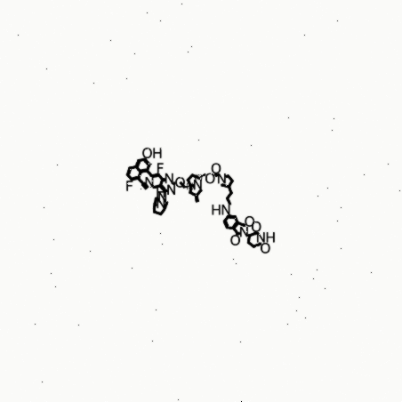 C#Cc1c(F)ccc2cc(O)cc(-c3ncc4c(N5CC6CCC(C5)N6)nc(OC[C@@]56CC[C@@H](COC(=O)N7CCC(CCCNc8ccc9c(c8)C(=O)N(C8CCC(=O)NC8=O)C9=O)C7)N5CC(=C)C6)nc4c3F)c12